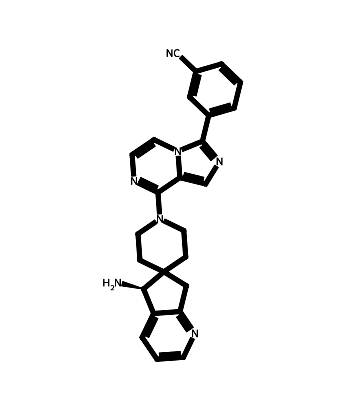 N#Cc1cccc(-c2ncc3c(N4CCC5(CC4)Cc4ncccc4[C@H]5N)nccn23)c1